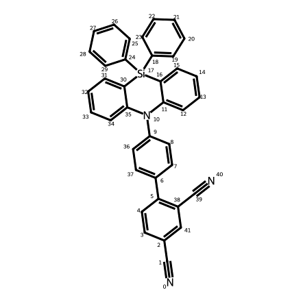 N#Cc1ccc(-c2ccc(N3c4ccccc4[Si](c4ccccc4)(c4ccccc4)c4ccccc43)cc2)c(C#N)c1